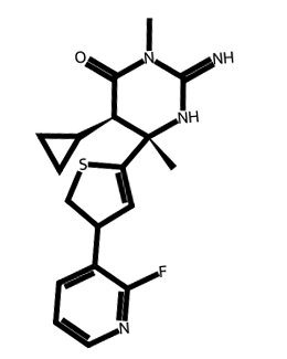 CN1C(=N)N[C@](C)(C2=CC(c3cccnc3F)CS2)[C@@H](C2CC2)C1=O